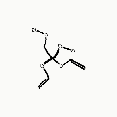 C=COC(COCC)(OC=C)OCC